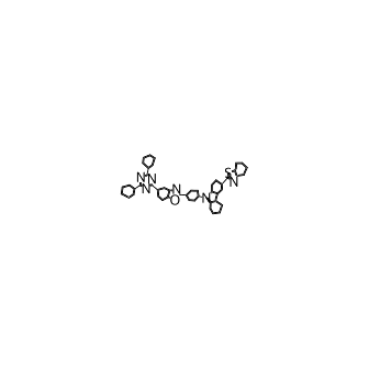 c1ccc(-c2nc(-c3ccccc3)nc(-c3ccc4oc(-c5ccc(-n6c7ccccc7c7cc(-c8nc9ccccc9s8)ccc76)cc5)nc4c3)n2)cc1